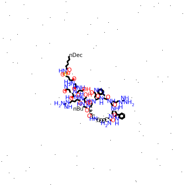 CCCCCCCCCCCCCCCC(=O)NS(=O)(=O)CCCC(=O)NCC(=O)NC(CO)C(=O)N[C@@H](CCC(N)=O)C(=O)NC(CCCNC(=N)N)C(=O)NC(CO)C(=O)N[C@@H](CCCC)C(=O)N[C@H]1CCC(=O)CNCCCC[C@@H](C(N)=O)NC(=O)[C@H](Cc2c[nH]c3ccccc23)NC(=O)[C@H](CCCNC(=N)N)NC(=O)[C@@H](Cc2ccccc2)NC(=O)[C@H](CCC(N)=O)NC1=O